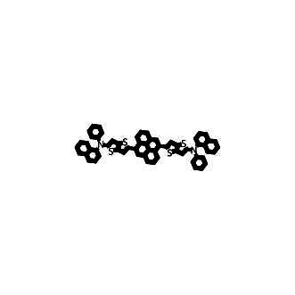 c1ccc(N(c2cc3sc(-c4cc5cccc6c(-c7cc8sc(N(c9ccccc9)c9cccc%10ccccc9%10)cc8s7)cc7cccc4c7c56)cc3s2)c2cccc3ccccc23)cc1